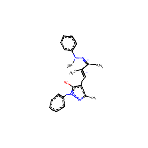 CC(=N/N(C=O)c1ccccc1)/C(C)=C/c1c(C)nn(-c2ccccc2)c1O